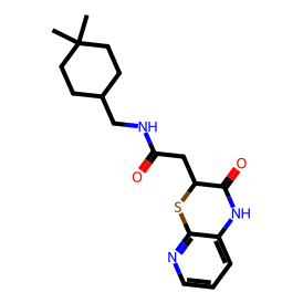 CC1(C)CCC(CNC(=O)CC2Sc3ncccc3NC2=O)CC1